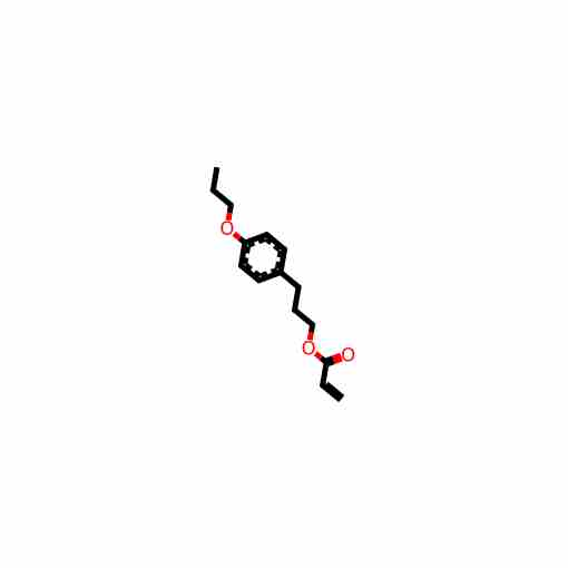 C=CC(=O)OCCCc1ccc(OCCC)cc1